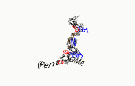 CCCC(C)Oc1ccc(C(=O)Nc2ccc3nc(SCC(=O)NC(C)c4ccccc4)sc3c2)c(OC)c1C